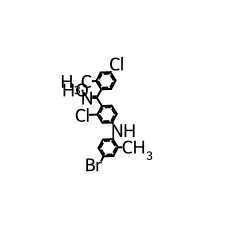 Cc1cc(Br)ccc1Nc1ccc(C(=NO)c2ccc(Cl)cc2C)c(Cl)c1